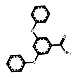 NC(=O)c1cc(Oc2ccccc2)cc(Oc2ccccc2)c1